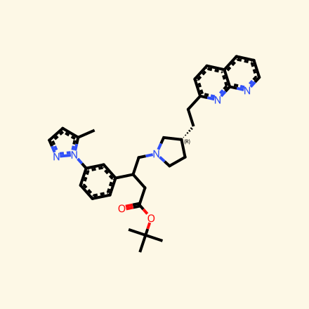 Cc1ccnn1-c1cccc(C(CC(=O)OC(C)(C)C)CN2CC[C@@H](CCc3ccc4cccnc4n3)C2)c1